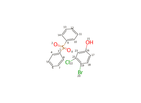 O=S(=O)(c1ccccc1)c1ccccc1.Oc1ccc(Br)c(Cl)c1